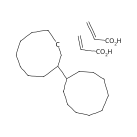 C1CCCCC(C2CCCCCCCCC2)CCCC1.C=CC(=O)O.C=CC(=O)O